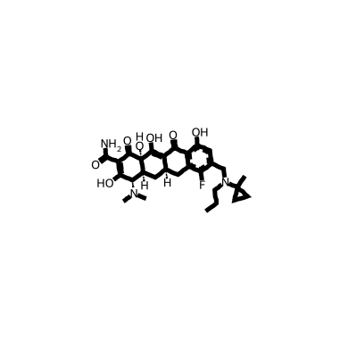 CCCN(Cc1cc(O)c2c(c1F)C[C@H]1C[C@H]3[C@H](N(C)C)C(O)=C(C(N)=O)C(=O)[C@@]3(O)C(O)=C1C2=O)C1(C)CC1